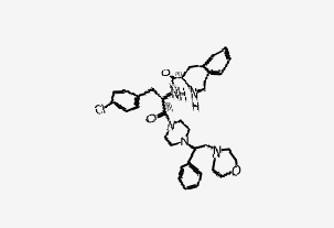 O=C(N[C@H](Cc1ccc(Cl)cc1)C(=O)N1CCN(C(CN2CCOCC2)c2ccccc2)CC1)[C@H]1Cc2ccccc2CN1